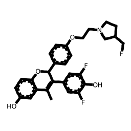 CC1=C(c2cc(F)c(O)c(F)c2)C(c2ccc(OCCN3CCC(CF)C3)cc2)Oc2ccc(O)cc21